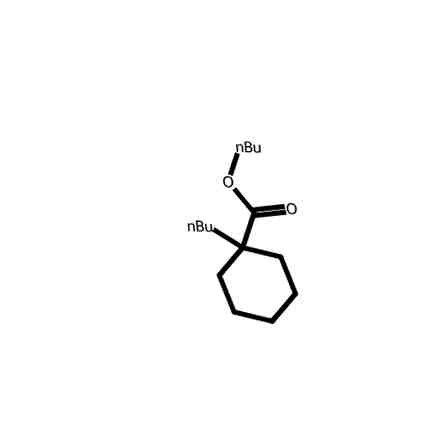 CCCCOC(=O)C1(CCCC)CCCCC1